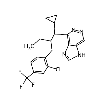 CCC(Cc1ccc(C(F)(F)F)cc1Cl)C(c1nncc2[nH]cnc12)C1CC1